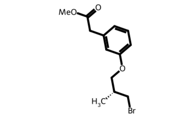 COC(=O)Cc1cccc(OC[C@@H](C)CBr)c1